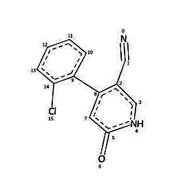 N#Cc1c[nH]c(=O)cc1-c1ccccc1Cl